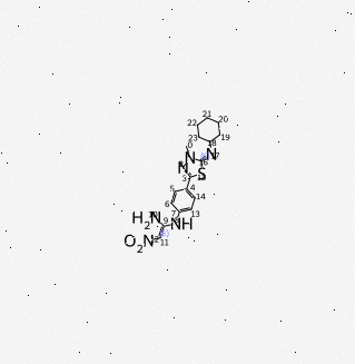 Cn1nc(-c2ccc(N/C(N)=C/[N+](=O)[O-])cc2)s/c1=N/C1CCCCC1